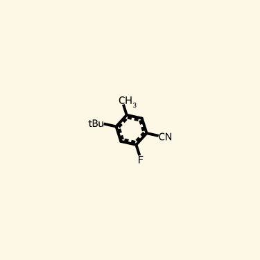 Cc1cc(C#N)c(F)cc1C(C)(C)C